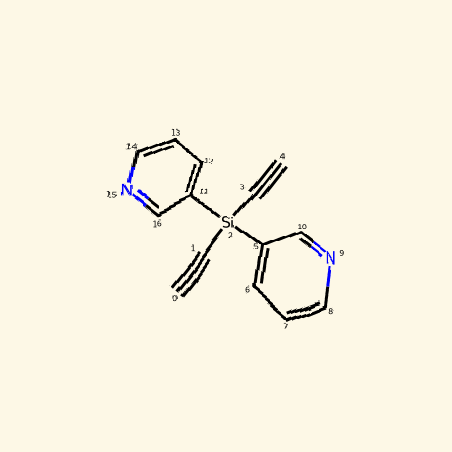 C#C[Si](C#C)(c1cccnc1)c1cccnc1